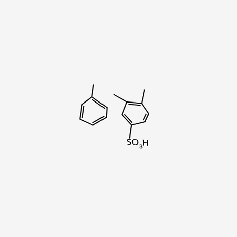 Cc1ccc(S(=O)(=O)O)cc1C.Cc1ccccc1